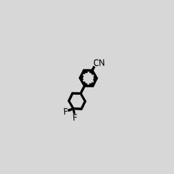 N#Cc1ccc(C2CCC(F)(F)CC2)cc1